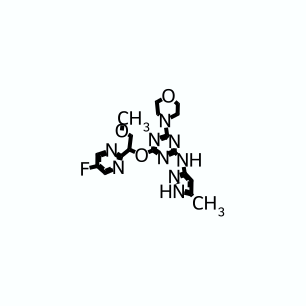 COCC(Oc1nc(Nc2cc(C)[nH]n2)nc(N2CCOCC2)n1)c1ncc(F)cn1